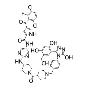 CCc1cc(-c2nnc(O)n2-c2ccc(CN3CCC(C(=O)N4CCC(Nc5ncc(NC(=O)c6cc(C(=O)c7c(Cl)ccc(Cl)c7F)c[nH]6)cn5)CC4)CC3)cc2)c(O)cc1O